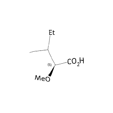 CCC(C)[C@H](OC)C(=O)O